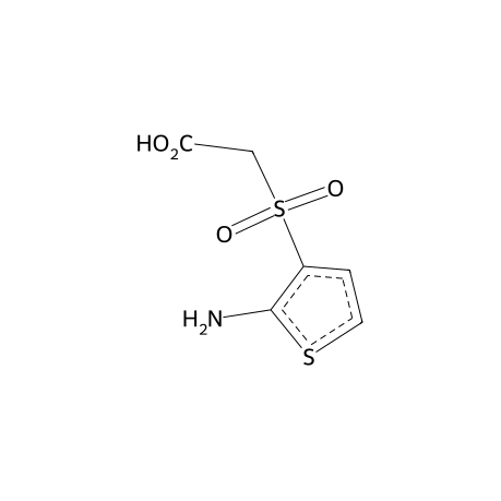 Nc1sccc1S(=O)(=O)CC(=O)O